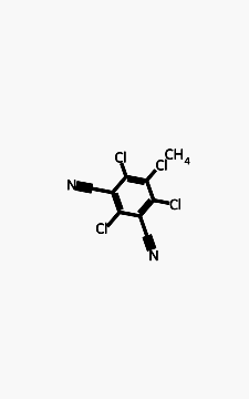 C.N#Cc1c(Cl)c(Cl)c(Cl)c(C#N)c1Cl